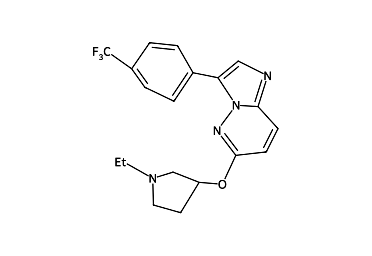 CCN1CCC(Oc2ccc3ncc(-c4ccc(C(F)(F)F)cc4)n3n2)C1